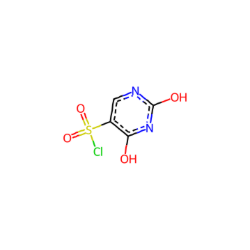 O=S(=O)(Cl)c1cnc(O)nc1O